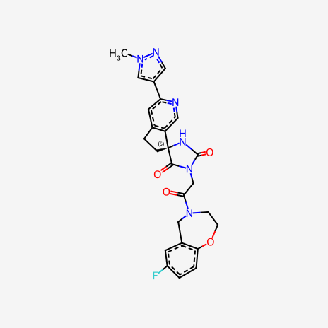 Cn1cc(-c2cc3c(cn2)[C@]2(CC3)NC(=O)N(CC(=O)N3CCOc4ccc(F)cc4C3)C2=O)cn1